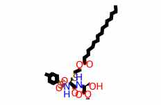 CCCCCCCCCCCCCCCC(=O)OCCSC[C@@H](NS(=O)(=O)c1ccc(C)cc1)C(=O)N[C@@H](CO)C(=O)OC